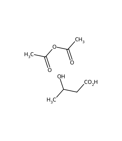 CC(=O)OC(C)=O.CC(O)CC(=O)O